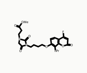 CCCc1c(OCCCCN2C(=O)CN(CCC(=O)OC)C2=O)ccc2c(F)cc(=O)oc12